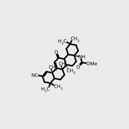 COC(=O)N[C@]12CCC(C)(C)CC1C1C(=O)C=C3[C@@]4(C)C=C(C#N)CC(C)(C)C4CC[C@@]3(C)[C@]1(C)CC2